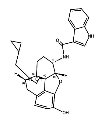 O=C(N[C@H]1CC[C@@]2(O)[C@H]3Cc4ccc(O)c5c4[C@@]2(CCN3CC2CC2)[C@H]1O5)c1c[nH]c2ccccc12